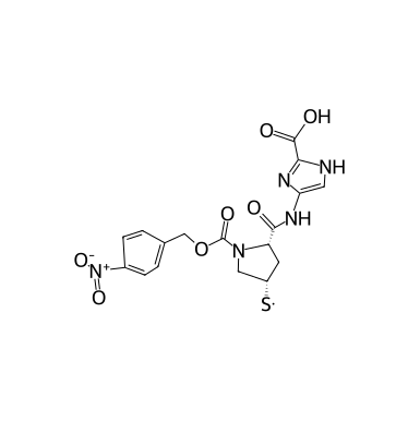 O=C(O)c1nc(NC(=O)[C@@H]2C[C@H]([S])CN2C(=O)OCc2ccc([N+](=O)[O-])cc2)c[nH]1